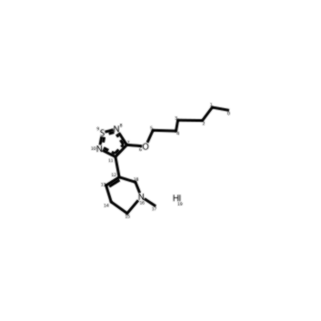 CCCCCCOc1nsnc1C1=CCCN(C)C1.I